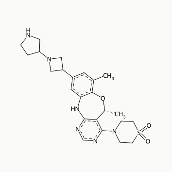 Cc1cc(C2CN(C3CCNC3)C2)cc2c1O[C@H](C)c1c(ncnc1N1CCS(=O)(=O)CC1)N2